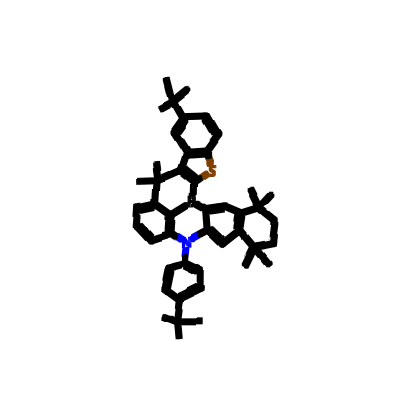 CC(C)(C)c1ccc(N2c3cc4c(cc3B3c5sc6ccc(C(C)(C)C)cc6c5C(C)(C)c5cccc2c53)C(C)(C)CCC4(C)C)cc1